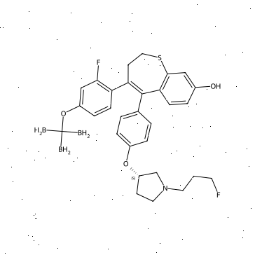 BC(B)(B)Oc1ccc(C2=C(c3ccc(O[C@H]4CCN(CCCF)C4)cc3)c3ccc(O)cc3SCC2)c(F)c1